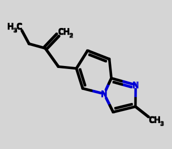 C=C(CC)Cc1ccc2nc(C)cn2c1